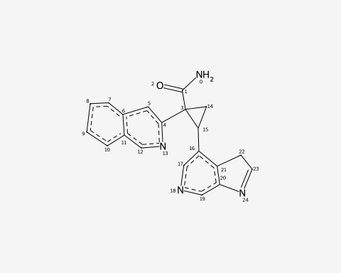 NC(=O)C1(c2cc3ccccc3cn2)CC1c1cncc2c1CC=N2